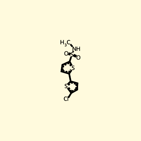 CNS(=O)(=O)c1ccc(-c2ccc(Cl)s2)s1